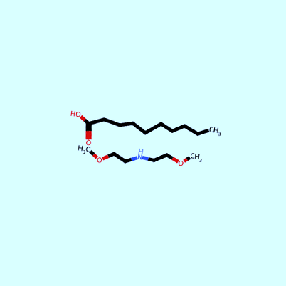 CCCCCCCCCC(=O)O.COCCNCCOC